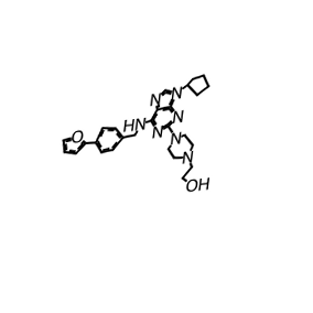 OCCN1CCN(c2nc(NCc3ccc(-c4ccco4)cc3)c3ncn(C4CCCC4)c3n2)CC1